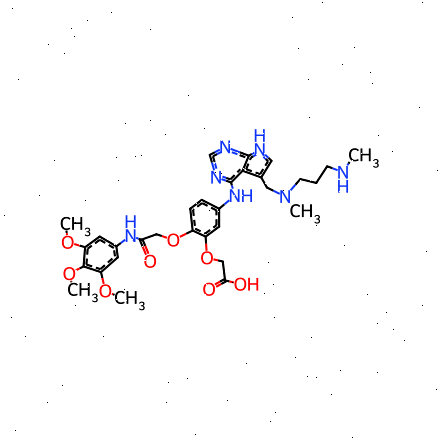 CNCCCN(C)Cc1c[nH]c2ncnc(Nc3ccc(OCC(=O)Nc4cc(OC)c(OC)c(OC)c4)c(OCC(=O)O)c3)c12